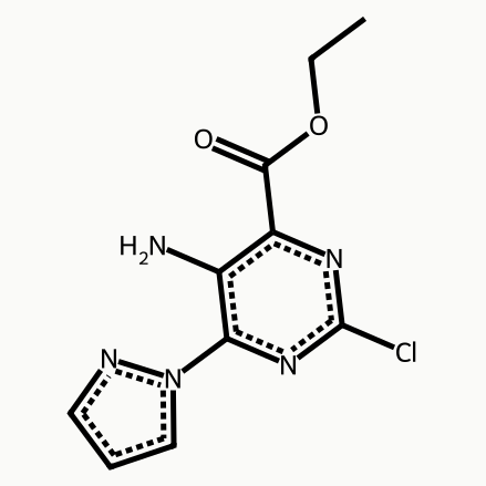 CCOC(=O)c1nc(Cl)nc(-n2cccn2)c1N